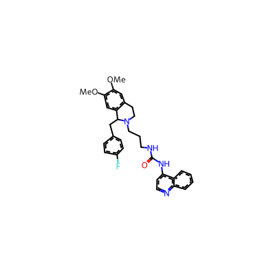 COc1cc2c(cc1OC)C(Cc1ccc(F)cc1)N(CCCNC(=O)Nc1ccnc3ccccc13)CC2